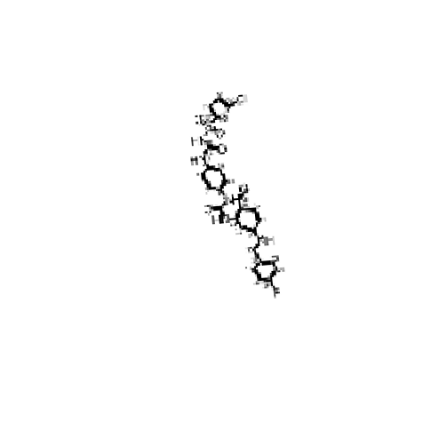 O=C(Nc1ccc(-n2c(=O)[nH]c3cc(NCc4ccc(F)cc4)ccc3c2=O)cc1)NS(=O)(=O)c1ccc(Cl)s1